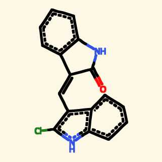 O=C1Nc2ccccc2C1=Cc1c(Cl)[nH]c2ccccc12